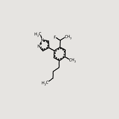 CCCCc1cc(-c2cnn(C)c2)c(C(C)F)cc1C